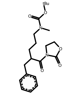 CN(CCCC(Cc1ccccc1)C(=O)N1CCOC1=O)C(=O)OC(C)(C)C